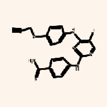 C#CCOc1ccc(Nc2nc(Nc3ccc(C(N)=S)cc3)ncc2F)cc1